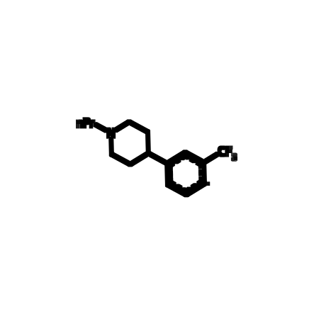 CCCN1CCC(c2cc[c]c(C(F)(F)F)c2)CC1